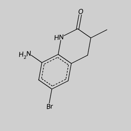 CC1Cc2cc(Br)cc(N)c2NC1=O